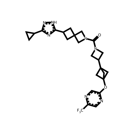 O=C(N1CC(C23CC(Oc4cnc(C(F)(F)F)cn4)(C2)C3)C1)N1CC2(CC(c3nc(C4CC4)n[nH]3)C2)C1